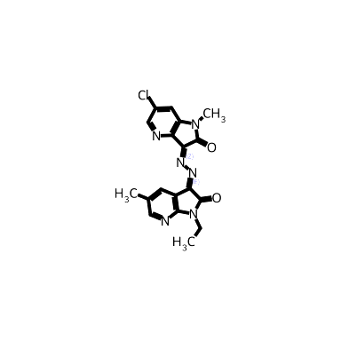 CCN1C(=O)/C(=N/N=C2\C(=O)N(C)c3cc(Cl)cnc32)c2cc(C)cnc21